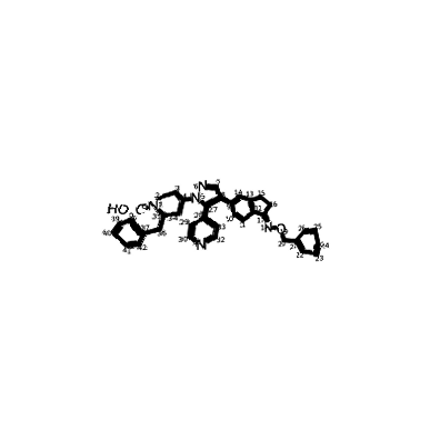 O=C(O)N1CCC(n2ncc(-c3ccc4c(c3)CCC4=NOCc3ccccc3)c2-c2ccncc2)CC1Cc1ccccc1